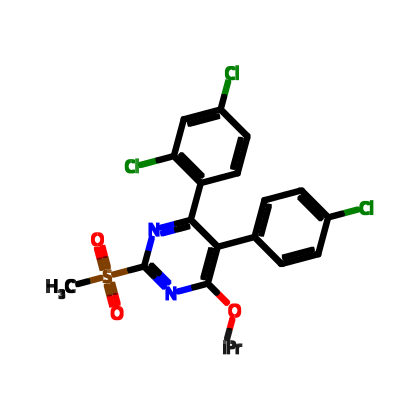 CC(C)Oc1nc(S(C)(=O)=O)nc(-c2ccc(Cl)cc2Cl)c1-c1ccc(Cl)cc1